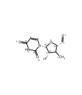 CC1[C@@H](C=O)O[C@@H](n2ccc(=O)[nH]c2=O)[C@H]1F